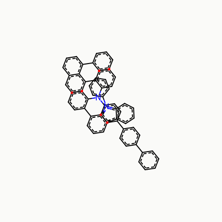 c1ccc(-c2ccc(-c3ccc(N(c4ccccc4-c4cccc5cccc(-c6ccccc6)c45)c4ccccc4-c4cccc5c6ccccc6n(-c6ccccc6)c45)cc3)cc2)cc1